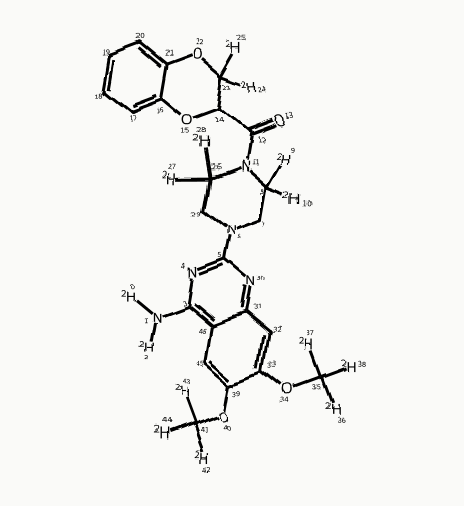 [2H]N([2H])c1nc(N2CC([2H])([2H])N(C(=O)C3Oc4ccccc4OC3([2H])[2H])C([2H])([2H])C2)nc2cc(OC([2H])([2H])[2H])c(OC([2H])([2H])[2H])cc12